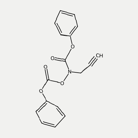 C#CCN(OC(=O)Oc1ccccc1)C(=O)Oc1ccccc1